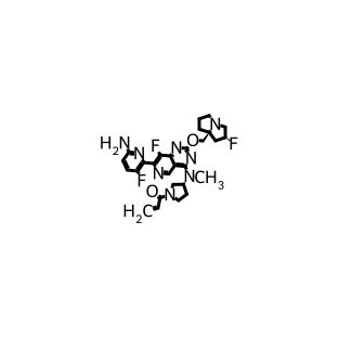 C=CC(=O)N1CC[C@@H](N(C)c2nc(OC[C@@]34CCCN3C[C@H](F)C4)nc3c(F)c(-c4nc(N)ccc4F)ncc23)C1